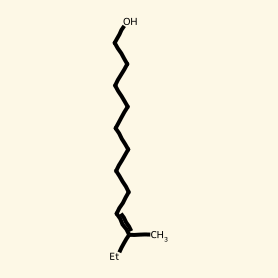 CCC(C)=CCCCCCCCCO